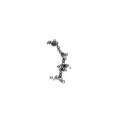 CC1(C)CCC(c2ccc(Cl)cc2)=C(CN2CCN(c3ccc(C(=O)NS(=O)(=O)c4ccc(N[C@H](CCN5CCN(C(=O)CCCN/C=C(/COCCOCCOCCNc6cccc7c6C(=O)N(C6CCC(=O)NC6=O)C7=O)N=N)CC5)CSc5ccccc5)c(S(=O)(=O)C(F)(F)F)c4)cc3)CC2)C1